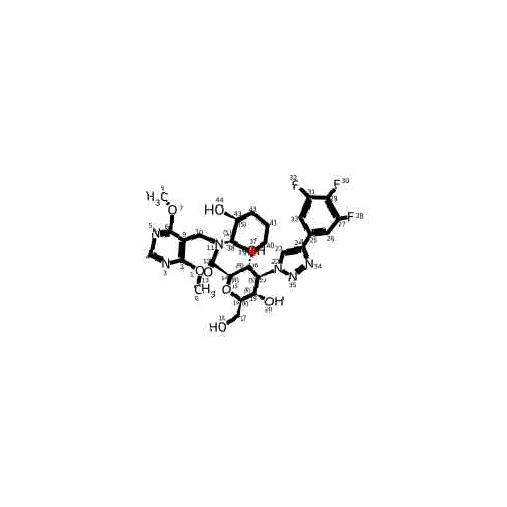 COc1ncnc(OC)c1CN(C(=O)[C@@H]1O[C@H](CO)[C@H](O)[C@H](n2cc(-c3cc(F)c(F)c(F)c3)nn2)[C@H]1O)[C@H]1CCCC[C@@H]1O